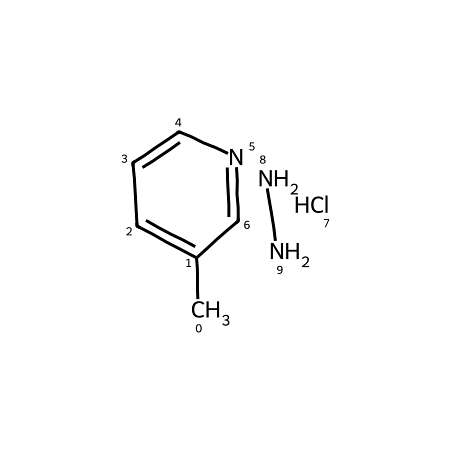 Cc1cccnc1.Cl.NN